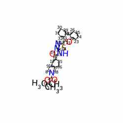 CC(C)(C)OC(=O)N1CCc2cc(C(=O)Nc3nnc(COc4ccccc4-c4ccccc4)s3)ccc2C1